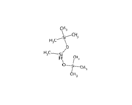 C[SiH](O[Si](C)(C)C)O[Si](C)(C)C